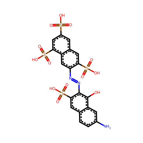 Nc1ccc2cc(S(=O)(=O)O)c(/N=N/c3cc4c(S(=O)(=O)O)cc(S(=O)(=O)O)cc4cc3S(=O)(=O)O)c(O)c2c1